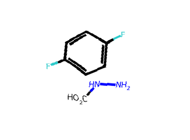 Fc1ccc(F)cc1.NNC(=O)O